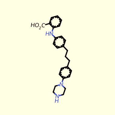 O=C(O)c1ccccc1Nc1ccc(CCCc2ccc(N3CCNCC3)cc2)cc1